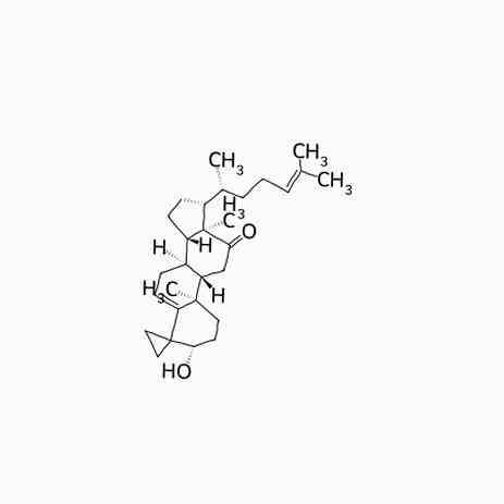 CC(C)=CCC[C@@H](C)[C@H]1CC[C@H]2[C@@H]3CC=C4C5(CC5)[C@@H](O)CC[C@]4(C)[C@H]3CC(=O)[C@]12C